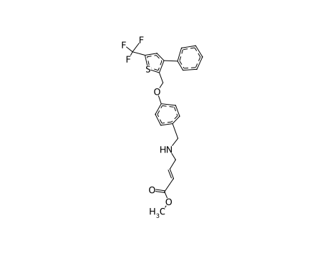 COC(=O)/C=C/CNCc1ccc(OCc2sc(C(F)(F)F)cc2-c2ccccc2)cc1